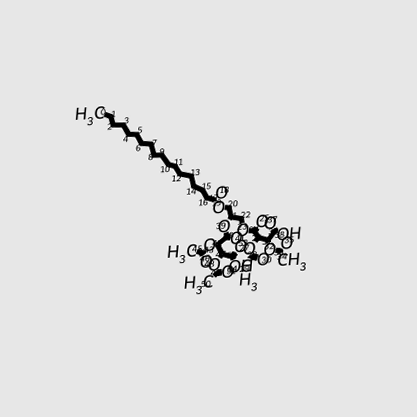 CCCCCCCCCCCCCCCCCC(=O)OCC(COC(=O)C(OC(C)=O)C(OC(C)=O)C(=O)O)OC(=O)C(OC(C)=O)C(OC(C)=O)C(=O)O